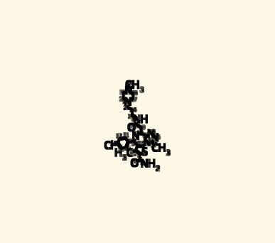 Cc1c(C(N)=O)sc2c1C(c1ccc(Cl)cc1)=NC(CC(=O)NCCCN1CCN(C)CC1)c1nnc(C)n1-2